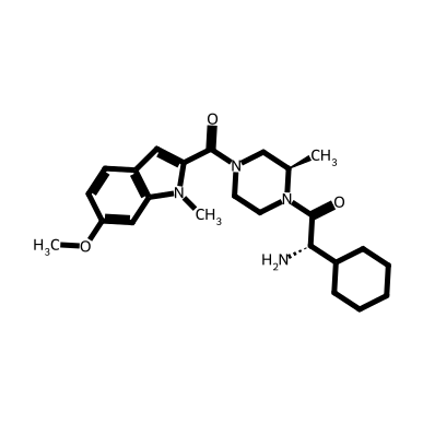 COc1ccc2cc(C(=O)N3CCN(C(=O)[C@@H](N)C4CCCCC4)[C@H](C)C3)n(C)c2c1